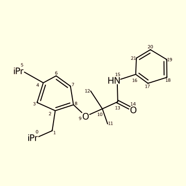 CC(C)Cc1cc(C(C)C)ccc1OC(C)(C)C(=O)Nc1ccccc1